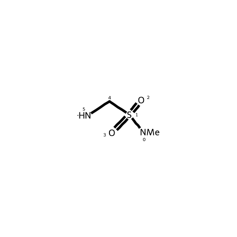 CNS(=O)(=O)C[NH]